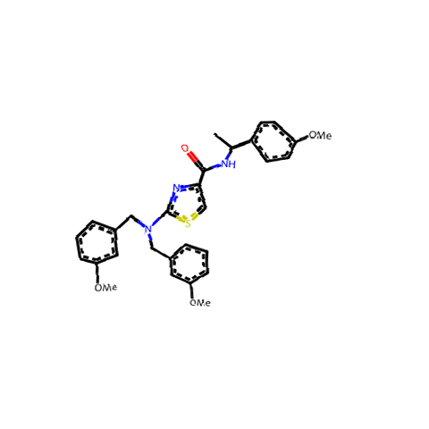 COc1ccc(C(C)NC(=O)c2csc(N(Cc3cccc(OC)c3)Cc3cccc(OC)c3)n2)cc1